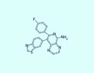 Nc1nc(-c2ccc(F)cc2)c(-c2ccc3ncsc3c2)c2nccnc12